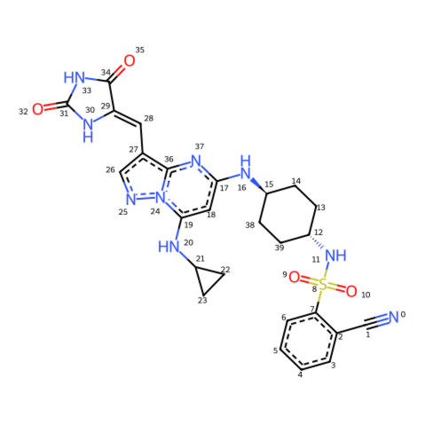 N#Cc1ccccc1S(=O)(=O)N[C@H]1CC[C@H](Nc2cc(NC3CC3)n3ncc(/C=C4\NC(=O)NC4=O)c3n2)CC1